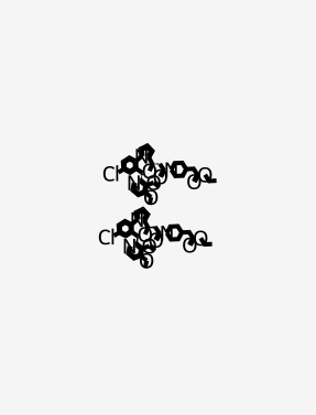 CCOC(=O)CC1CCN(C(=O)C[C@@H]2O[C@H](c3nccc(OC)c3OC)c3cc(Cl)ccc3-n3cccc32)CC1.CCOC(=O)CC1CCN(C(=O)C[C@H]2O[C@@H](c3nccc(OC)c3OC)c3cc(Cl)ccc3-n3cccc32)CC1